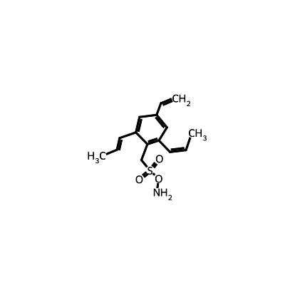 C=Cc1cc(/C=C\C)c(CS(=O)(=O)ON)c(/C=C/C)c1